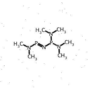 CN(C)P=NP(N(C)C)N(C)C